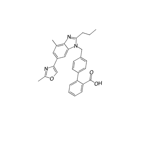 CCCc1nc2c(C)cc(-c3coc(C)n3)cc2n1Cc1ccc(-c2ccccc2C(=O)O)cc1